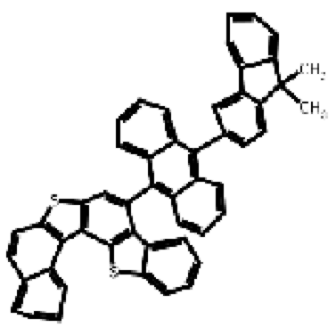 CC1(C)c2ccccc2-c2cc(-c3c4ccccc4c(-c4cc5sc6ccc7ccccc7c6c5c5sc6ccccc6c45)c4ccccc34)ccc21